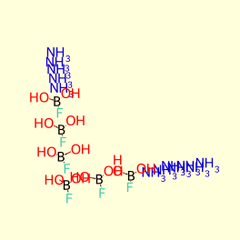 N.N.N.N.N.N.N.N.N.N.N.N.OB(O)F.OB(O)F.OB(O)F.OB(O)F.OB(O)F.OB(O)F